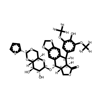 [2H]C([2H])([2H])Oc1cc([C@]2([2H])c3cc4c(cc3[C@@H](O[C@@H]3O[C@@H]5CO[C@@H](c6cccs6)O[C@H]5[C@H](O)[C@H]3O)[C@H]3COC(=O)[C@@H]32)OCO4)cc(OC([2H])([2H])[2H])c1O